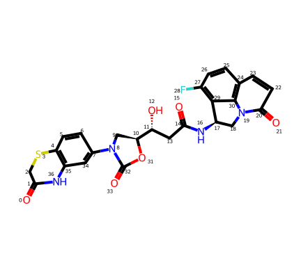 O=C1CSc2ccc(N3C[C@@H]([C@H](O)CC(=O)N[C@@H]4Cn5c(=O)ccc6ccc(F)c4c65)OC3=O)cc2N1